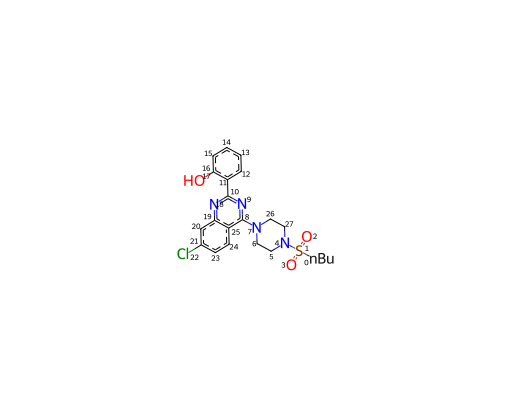 CCCCS(=O)(=O)N1CCN(c2nc(-c3ccccc3O)nc3cc(Cl)ccc23)CC1